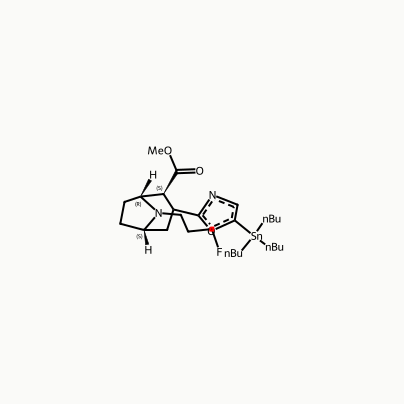 CCC[CH2][Sn]([CH2]CCC)([CH2]CCC)[c]1cnc(C2C[C@@H]3CC[C@H]([C@H]2C(=O)OC)N3CCCF)o1